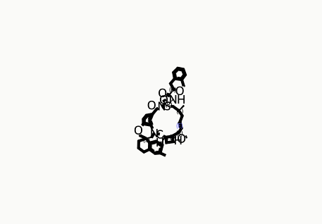 CO[C@H]1/C=C/C[C@H](C)C[S@@](=O)(NC(=O)[C@H]2Cc3ccccc3CO2)=NC(=O)c2ccc3c(c2)N(C[C@@H]2CC[C@H]21)C[C@@]1(CCCc2cc(C)ccc21)CO3